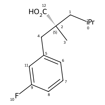 CC(C)C[C@@](C)(Cc1cccc(F)c1)C(=O)O